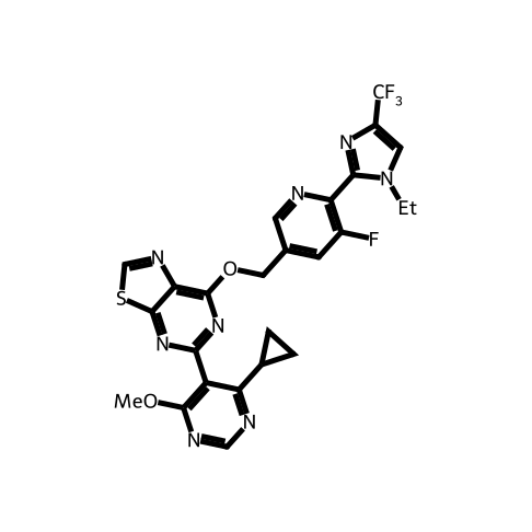 CCn1cc(C(F)(F)F)nc1-c1ncc(COc2nc(-c3c(OC)ncnc3C3CC3)nc3scnc23)cc1F